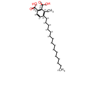 CCCCCCCCCCCCCCCCc1ccc(C(=O)O)c(C(=O)O)c1C